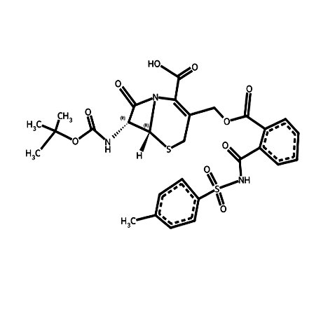 Cc1ccc(S(=O)(=O)NC(=O)c2ccccc2C(=O)OCC2=C(C(=O)O)N3C(=O)[C@@H](NC(=O)OC(C)(C)C)[C@H]3SC2)cc1